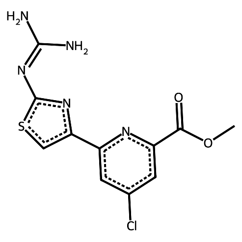 COC(=O)c1cc(Cl)cc(-c2csc(N=C(N)N)n2)n1